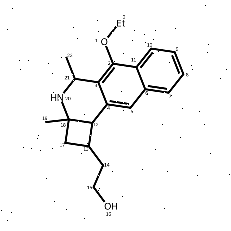 CCOc1c2c(cc3ccccc13)C1C(CCO)CC1(C)NC2C